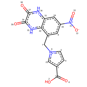 O=C(O)c1ccn(Cc2cc([N+](=O)[O-])cc3[nH]c(=O)c(=O)[nH]c23)c1